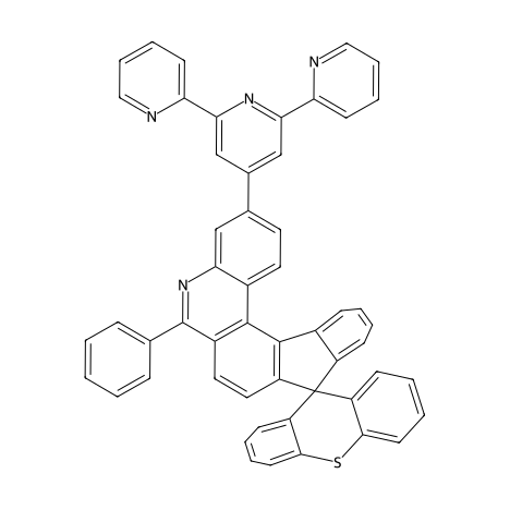 c1ccc(-c2nc3cc(-c4cc(-c5ccccn5)nc(-c5ccccn5)c4)ccc3c3c4c(ccc23)C2(c3ccccc3Sc3ccccc32)c2ccccc2-4)cc1